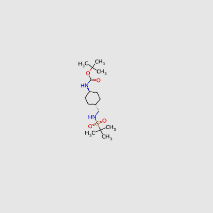 CC(C)(C)OC(=O)N[C@H]1CC[C@H](CNS(=O)(=O)C(C)(C)C)CC1